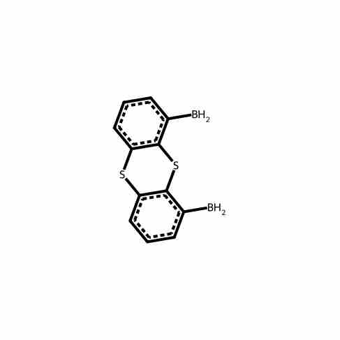 Bc1cccc2c1Sc1c(B)cccc1S2